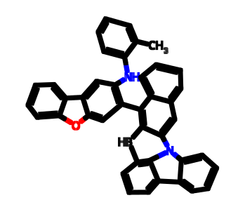 Cc1ccccc1Nc1cc2c(cc1-c1c3c(cc4ccccc14)-n1c4ccccc4c4cccc(c41)B3)oc1ccccc12